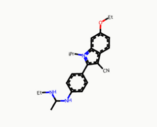 CCNC(C)Nc1ccc(-c2c(C#N)c3ccc(OCC)cc3n2C(C)C)cc1